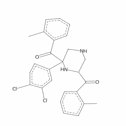 Cc1ccccc1C(=O)C1CNCC(C(=O)c2ccccc2C)(c2ccc(Cl)c(Cl)c2)N1